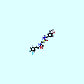 Fc1ccc(C=Cc2nc(CSc3nnc(-c4ccc5c(c4)CCO5)o3)co2)cc1F